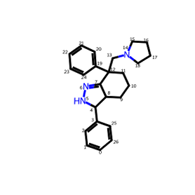 c1ccc(C2NN=C3C2CCCC3(CN2CCCC2)c2ccccc2)cc1